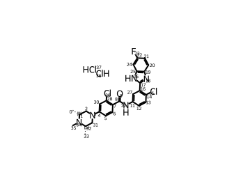 C[C@@H]1CN(c2ccc(C(=O)Nc3ccc(Cl)c(-c4nc5ccc(F)cc5[nH]4)c3)c(Cl)c2)C[C@H](C)N1C.Cl.Cl